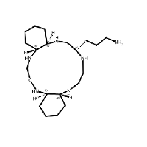 NCCC[C@H]1CN[C@@H]2CCCC[C@H]2NCCN[C@@H]2CCCC[C@H]2NCCN1